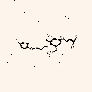 CCc1cc(OCC=C(F)Cl)cc(CC)c1OCCCOc1ccc(Cl)cc1